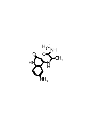 CNC(=O)C(C)Nc1cc(=O)[nH]c2ccc(N)cc12